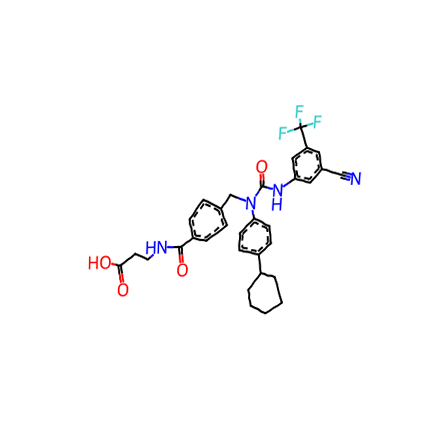 N#Cc1cc(NC(=O)N(Cc2ccc(C(=O)NCCC(=O)O)cc2)c2ccc(C3CCCCC3)cc2)cc(C(F)(F)F)c1